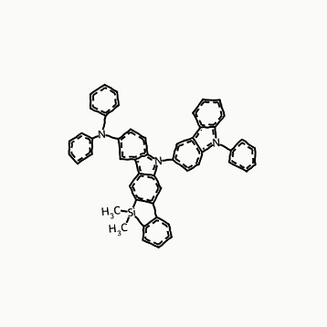 C[Si]1(C)c2ccccc2-c2cc3c(cc21)c1cc(N(c2ccccc2)c2ccccc2)ccc1n3-c1ccc2c(c1)c1ccccc1n2-c1ccccc1